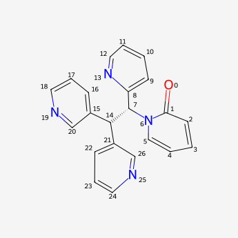 O=c1ccccn1[C@@H](c1ccccn1)C(c1cccnc1)c1cccnc1